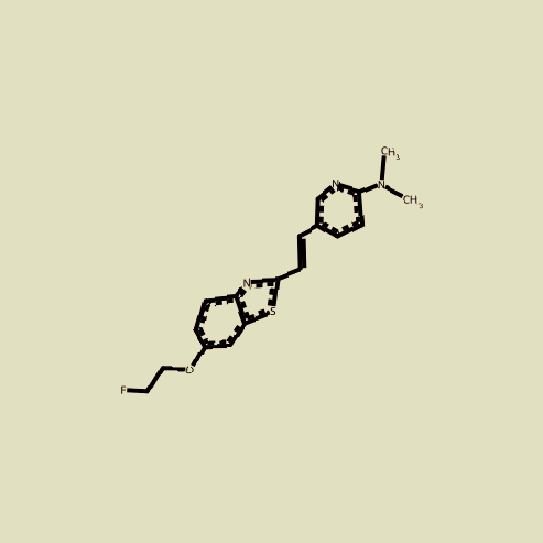 CN(C)c1ccc(/C=C/c2nc3ccc(OCCF)cc3s2)cn1